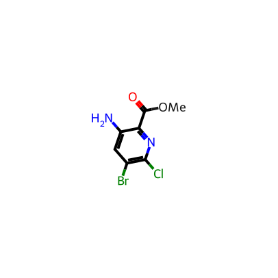 COC(=O)c1nc(Cl)c(Br)cc1N